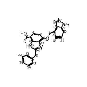 O=C(O)c1ccc(OCc2cccc3[nH]nnc23)c2nc(Cc3ccccc3)[nH]c12